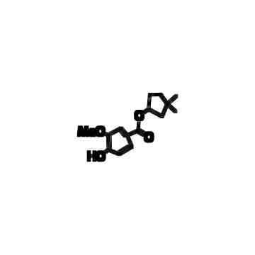 COc1cc(C(=O)OC2CCC(C)(C)C2)ccc1O